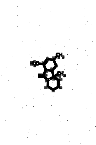 CC1=CC(C)CC2C1NC1CCC=CC12C